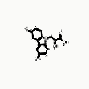 O=C(O)C(O)Cn1c2ccc(Br)cc2c2cc(Br)ccc21